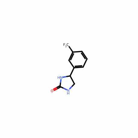 O=C1NCC(c2cccc(C(F)(F)F)c2)N1